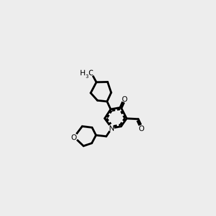 CC1CCC(c2cn(CC3CCOCC3)cc(C=O)c2=O)CC1